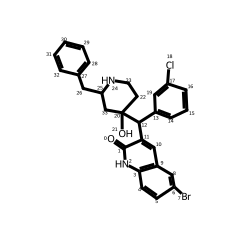 O=c1[nH]c2ccc(Br)cc2cc1C(c1cccc(Cl)c1)C1(O)CCNC(Cc2ccccc2)C1